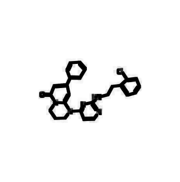 O=c1cc(-c2ccccc2)cc2n1CCCN2c1ccnc(NCCc2ccccc2Cl)n1